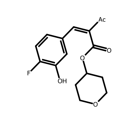 CC(=O)C(=Cc1ccc(F)c(O)c1)C(=O)OC1CCOCC1